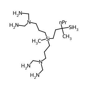 CCCC(C)([SiH3])CC[Si](C)(CCCN(CN)CN)CCCN(CN)CN